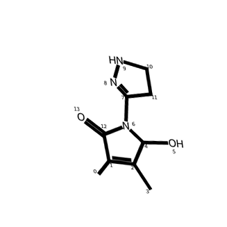 CC1=C(C)C(O)N(C2=NNCC2)C1=O